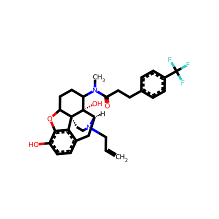 C=CCN1CC[C@]23c4c5ccc(O)c4OC2CCC(N(C)C(=O)CCc2ccc(C(F)(F)F)cc2)[C@@]3(O)[C@H]1C5